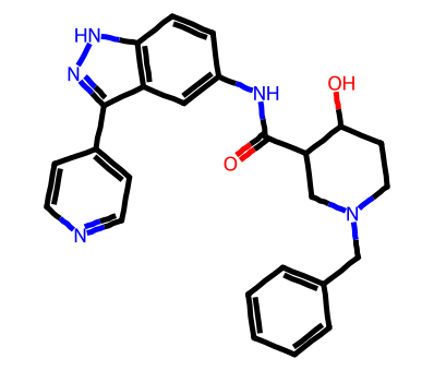 O=C(Nc1ccc2[nH]nc(-c3ccncc3)c2c1)C1CN(Cc2ccccc2)CCC1O